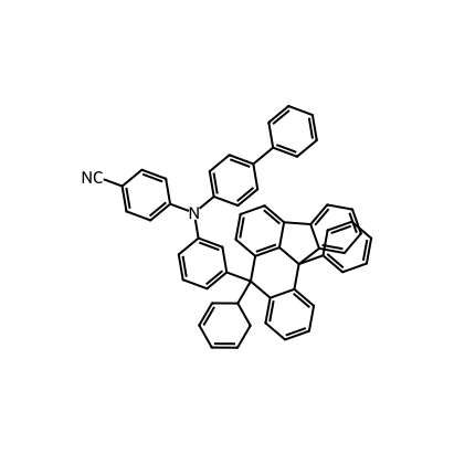 N#Cc1ccc(N(c2ccc(-c3ccccc3)cc2)c2cccc(C3(C4C=CC=CC4)c4ccccc4C4(c5ccccc5)c5ccccc5-c5cccc3c54)c2)cc1